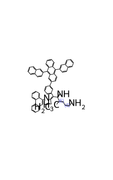 C=Cc1c(C(=N)/C(C)=C/C=C\N)c2cc(-c3ccc4c(-c5ccc6ccccc6c5)c5ccccc5c(-c5ccc6ccccc6c5)c4c3)ccc2n1-c1cc2ccccc2c2ccccc12